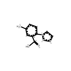 Cc1ccc(-n2ccnn2)c(C(=O)O)c1